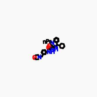 CCCN1C(=O)[C@H](NC(=O)Nc2cccc(CN3CCOCC3)c2)N=C(C2CCCCC2)c2ccccc21